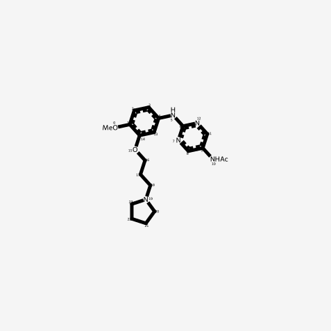 COc1ccc(Nc2ncc(NC(C)=O)cn2)cc1OCCCN1CCCC1